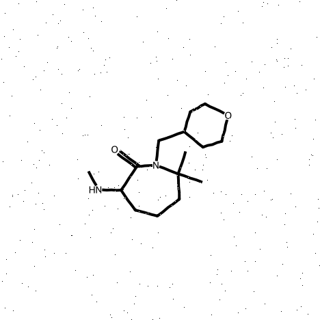 CNC1CCCC(C)(C)N(CC2CCOCC2)C1=O